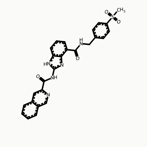 CS(=O)(=O)c1ccc(CNC(=O)c2cccc3[nH]c(NC(=O)c4cc5ccccc5cn4)nc23)cc1